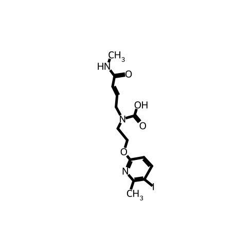 CNC(=O)C=CCN(CCOc1ccc(I)c(C)n1)C(=O)O